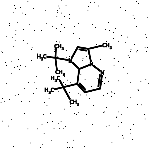 CC1=CN(C(C)(C)C)C2C(C(C)(C)C)=CC=NN12